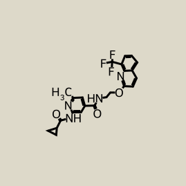 Cc1cc(C(=O)NCCOc2ccc3cccc(C(F)(F)F)c3n2)cc(NC(=O)C2CC2)n1